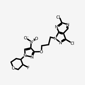 O=[N+]([O-])c1cn(C2CCOCC2F)nc1OCCCn1nc(Cl)c2cnc(Cl)nc21